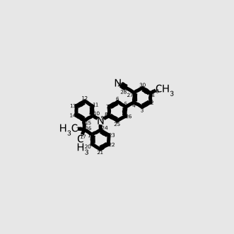 Cc1ccc(-c2ccc(N3c4ccccc4C(C)(C)c4ccccc43)cc2)c(C#N)c1